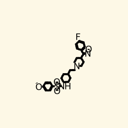 COc1ccc(S(=O)(=O)NC2CCC(CCN3CCC(c4noc5cc(F)ccc45)CC3)CC2)cc1